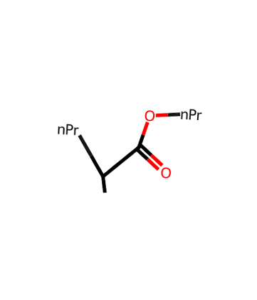 [CH2]CCC(C)C(=O)OCCC